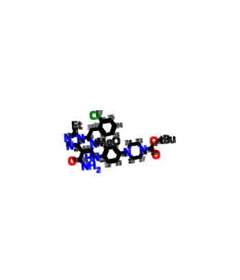 CCc1nnc2c(C(N)=O)c(Nc3ccc(N4CCN(C(=O)OC(C)(C)C)CC4)cc3OC)nc(Cc3ccccc3Cl)n12